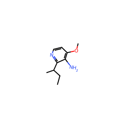 CCC(C)c1nccc(OC)c1N